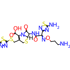 NCCCO/N=C(/C(=O)NC1C(=O)N2C(C(=O)O)=C(CSc3nncs3)CS[C@H]12)c1nsc(N)n1